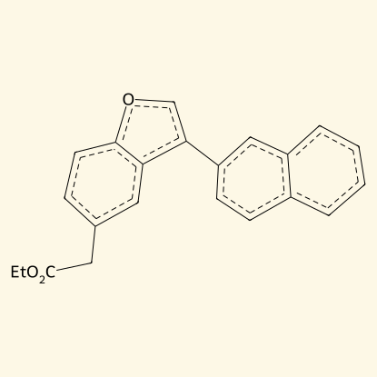 CCOC(=O)Cc1ccc2occ(-c3ccc4ccccc4c3)c2c1